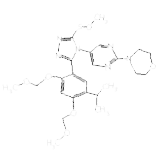 COCOc1cc(OCOC)c(C(C)C)cc1-c1nnc(SOC)n1-c1cnc(N2CCOCC2)nc1